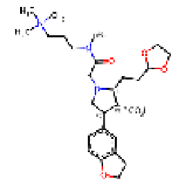 CCCCN(CCC[N+](C)(C)C)C(=O)CN1C[C@H](c2ccc3c(c2)CCO3)[C@@H](C(=O)O)[C@@H]1CCC1OCCO1